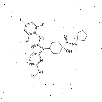 CC(C)Nc1ncc2nc(Nc3c(F)cc(F)cc3F)n(C3CCC(O)(C(=O)NC4CCCC4)CC3)c2n1